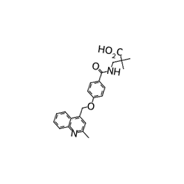 Cc1cc(COc2ccc(C(=O)NCC(C)(C)C(=O)O)cc2)c2ccccc2n1